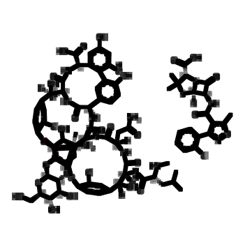 CN[C@H](CC(C)C)C(=O)N[C@H]1C(=O)N[C@@H](CC(N)=O)C(=O)N[C@H]2C(=O)N[C@H]3C(=O)N[C@H](C(=O)N[C@@H](C(=O)O)c4cc(O)cc(O)c4-c4cc3ccc4O)[C@H](O)c3ccc(c(Cl)c3)Oc3cc2cc(c3O[C@@H]2O[C@H](CO)[C@@H](O)[C@H](O)[C@H]2O[C@H]2C[C@](C)(N)C(O)[C@H](C)O2)Oc2ccc(cc2Cl)[C@H]1O.Cc1onc(-c2ccccc2Cl)c1C(=O)N[C@@H]1C(=O)N2[C@@H]1SC(C)(C)[C@@H]2C(=O)O